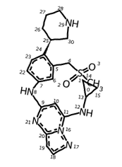 CS(=O)(=O)Cc1cc(Nc2cc(NC3CC3)n3nccc3n2)ccc1[C@H]1CCCNC1